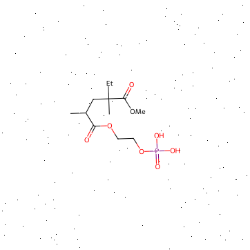 CCC(C)(CC(C)C(=O)OCCOP(=O)(O)O)C(=O)OC